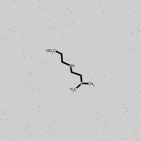 CN(C)CCNCCC(=O)O